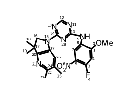 COc1cc(F)c([N+](=O)[O-])cc1Nc1ncnc(N2CC(C)(C)c3nc(C)c(C)cc32)n1